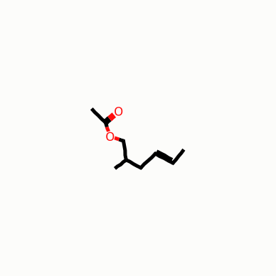 CC=CCC(C)COC(C)=O